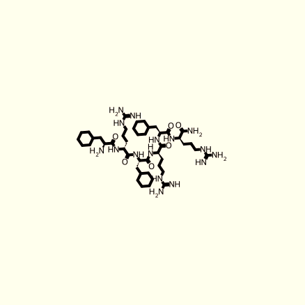 N=C(N)NCCC[C@@H](NC(=O)[C@H](CC1CCCCC1)NC(=O)[C@@H](CCCNC(=N)N)NC(=O)[C@H](CC1CCCCC1)NC(=O)[C@@H](CCCNC(=N)N)NC(=O)[C@@H](N)CC1CCCCC1)C(N)=O